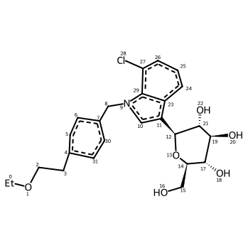 CCOCCc1ccc(Cn2cc([C@@H]3O[C@H](CO)[C@@H](O)[C@H](O)[C@H]3O)c3cccc(Cl)c32)cc1